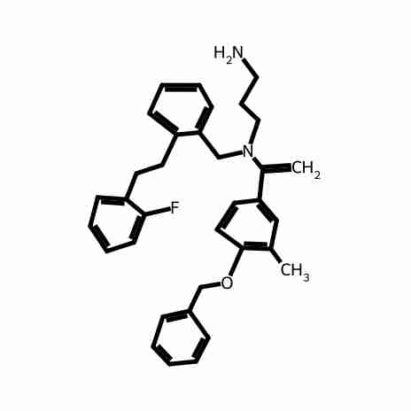 C=C(c1ccc(OCc2ccccc2)c(C)c1)N(CCCN)Cc1ccccc1CCc1ccccc1F